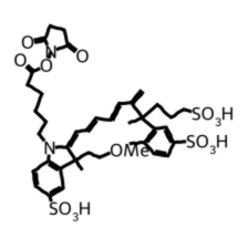 C=C(/C=C/C=C/C=C1/N(CCCCCC(=O)ON2C(=O)CCC2=O)c2ccc(S(=O)(=O)O)cc2C1(C)CCOC)C(C)(CCCS(=O)(=O)O)c1cc(S(=O)(=O)O)ccc1C